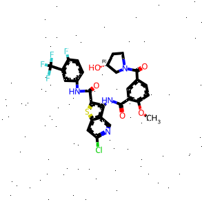 COc1ccc(C(=O)N2CC[C@@H](O)C2)cc1C(=O)Nc1c(C(=O)Nc2ccc(F)c(C(F)(F)F)c2)sc2cc(Cl)ncc12